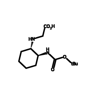 CC(C)(C)OC(=O)N[C@H]1CCCC[C@@H]1NCC(=O)O